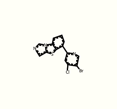 Clc1cc(-c2cccc3c2sc2cncn23)ncc1Br